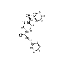 O=C(C#Cc1ccccc1)C1CCN(C(=O)c2ccccc2)CC1